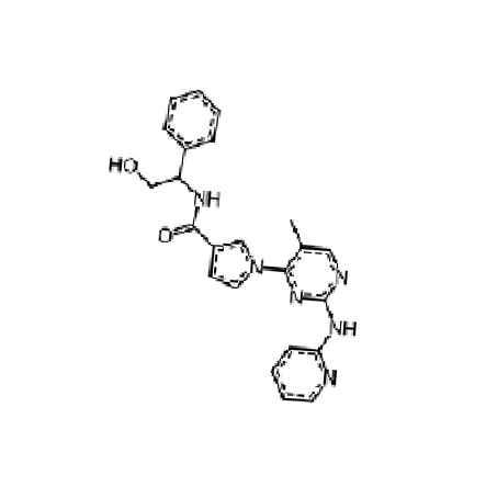 Cc1cnc(Nc2ccccn2)nc1-n1ccc(C(=O)NC(CO)c2ccccc2)c1